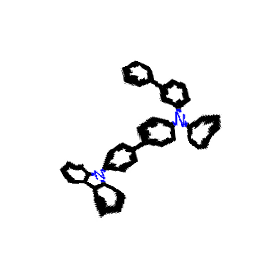 C1=CC2C3C=CC=CC3N(c3ccc(-c4ccc(N(c5ccccc5)c5cccc(-c6ccccc6)c5)cc4)cc3)C2C=C1